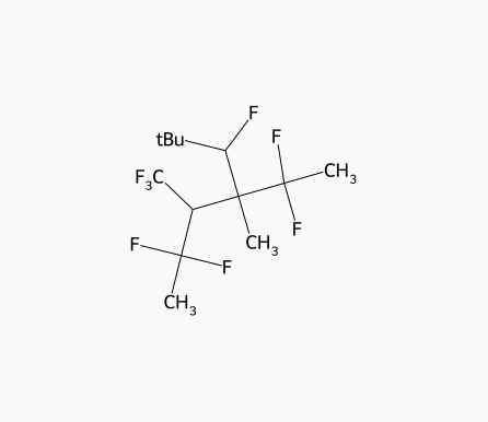 CC(C)(C)C(F)C(C)(C(C(C)(F)F)C(F)(F)F)C(C)(F)F